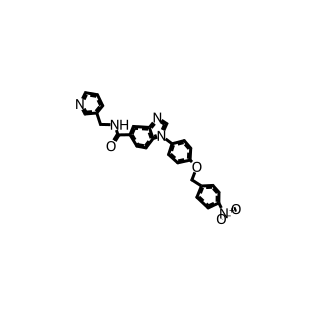 O=C(NCc1cccnc1)c1ccc2c(c1)ncn2-c1ccc(OCc2ccc([N+](=O)[O-])cc2)cc1